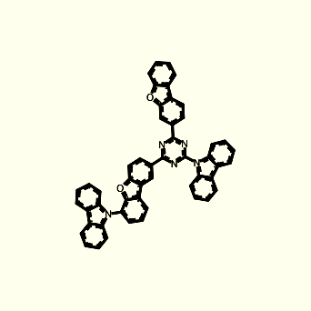 c1ccc2c(c1)oc1cc(-c3nc(-c4ccc5oc6c(-n7c8ccccc8c8ccccc87)cccc6c5c4)nc(-n4c5ccccc5c5ccccc54)n3)ccc12